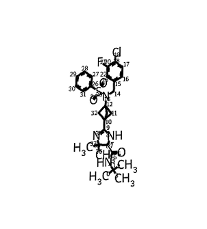 CC(C)(C)NC(=O)[C@@H]1NC(C23CC(N(Cc4ccc(Cl)c(F)c4)S(=O)(=O)c4ccccc4)(C2)C3)=NC1(C)C